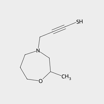 CC1CN(CC#CS)CCCO1